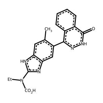 CCN(C(=O)O)c1nc2cc(-c3n[nH]c(=O)c4ccccc34)c(C)cc2[nH]1